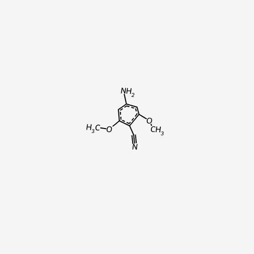 COc1cc(N)cc(OC)c1C#N